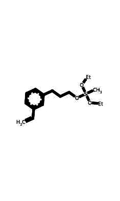 C=Cc1cccc(CCCO[Si](C)(OCC)OCC)c1